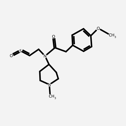 COc1ccc(CC(=O)N(CC=S=O)C2CCN(C)CC2)cc1